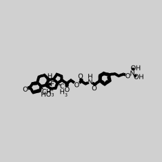 C[C@]12C[C@H](O)C3(F)[C@@H](CCC4=CC(=O)C=C[C@@]43C)C1CCC2C(=O)COC(=O)CNC(=O)c1ccc(CCCON(O)O)cc1